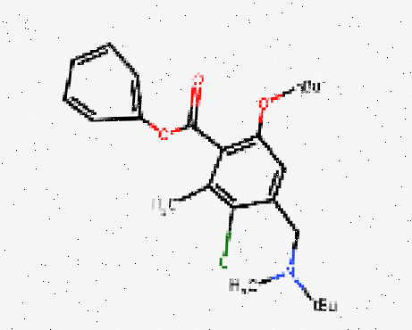 CCCCOc1cc(CN(C)C(C)(C)C)c(Cl)c(C)c1C(=O)Oc1ccccc1